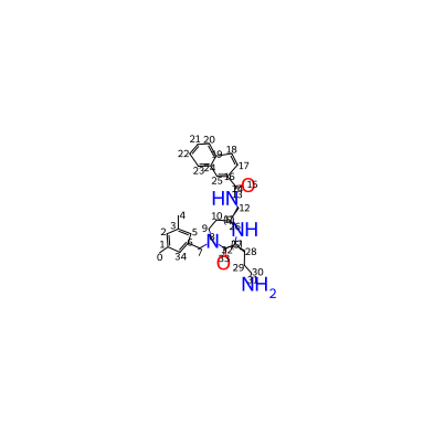 Cc1cc(C)cc(CN2CC[C@@H](CNC(=O)c3ccc4ccccc4c3)N[C@@H](CCCN)C2=O)c1